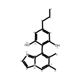 CCCc1cc(O)c(-c2c(C)c(C)cn3ccnc23)c(O)c1